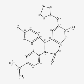 CN(C)c1ccc(N2C(=O)Cc3cc(O)c(OC4CCCC4)cc3C2c2ccc(Cl)cc2)cc1